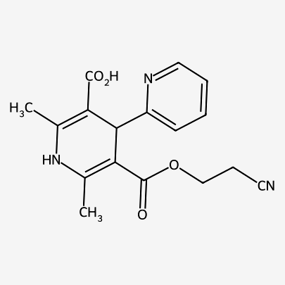 CC1=C(C(=O)O)C(c2ccccn2)C(C(=O)OCCC#N)=C(C)N1